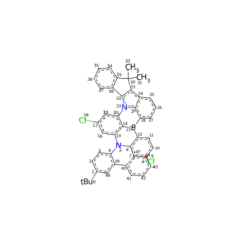 CC(C)(C)c1ccc(N2c3cc(Cl)ccc3B3c4c2cc(Cl)cc4-n2c4c(c5cccc3c52)C(C)(C)c2ccccc2-4)c(-c2ccccc2)c1